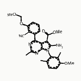 COCOc1cccc(-c2nc(C)nc3c2c(C(=O)OC)c(N)n3-c2c(C)ccc(OC)c2C)c1C#N